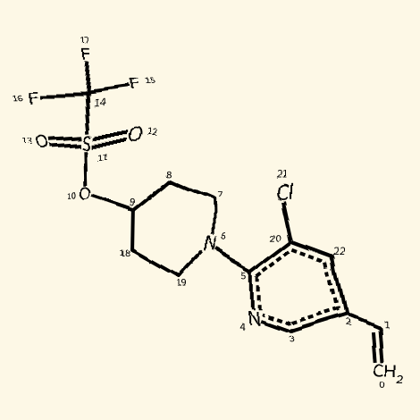 C=Cc1cnc(N2CCC(OS(=O)(=O)C(F)(F)F)CC2)c(Cl)c1